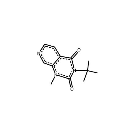 Cn1c(=O)n(C(C)(C)C)c(=O)c2ccncc21